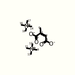 C/C(=C/C(=O)[O-])C(=O)[O-].C[N+](C)(C)C.C[N+](C)(C)C